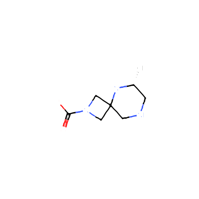 C[C@@H]1CNCC2(CN(C(=O)O)C2)N1